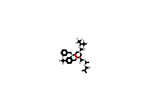 CC(OC(=O)CCCN(Cc1ccccc1)c1cc(C(F)(F)F)ccc1CN1CCN(C(=O)OC(C(F)(F)F)C(F)(F)F)CC1)OC(=O)C(C)C